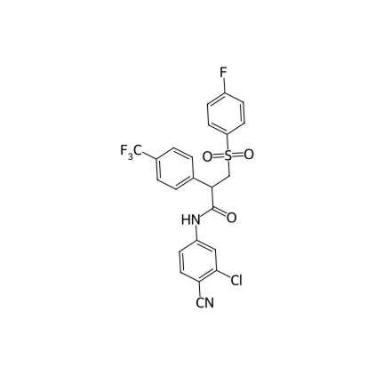 N#Cc1ccc(NC(=O)C(CS(=O)(=O)c2ccc(F)cc2)c2ccc(C(F)(F)F)cc2)cc1Cl